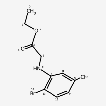 CCOC(=O)CNc1cc(Cl)ccc1Br